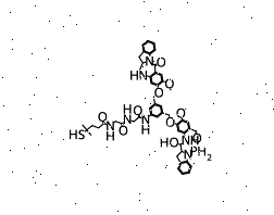 COc1cc(C=O)c(N[C@H](O)C2Cc3ccccc3N2P)cc1OCc1cc(COc2cc3c(cc2OC)C(=O)N2c4ccccc4CC2CN3)cc(NC(=O)CNC(=O)CNC(=O)CCC(C)(C)S)c1